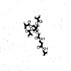 CC(C)CNC(=O)CCNC(=O)COCC(COC(=O)C(C)C)(COC(=O)C(C)C)COC(=O)C(C)C